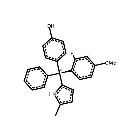 COc1ccc([C@@](c2ccccc2)(c2ccc(O)cc2)c2ccc(C)[nH]2)c(F)c1